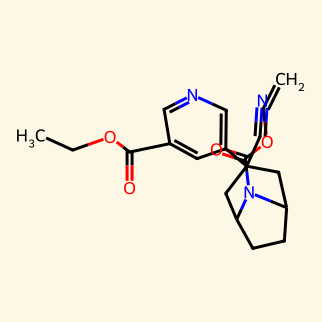 C=COC(=O)N1C2CCC1CC(C#N)(c1cncc(C(=O)OCC)c1)C2